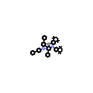 CC1(C)CCC(C)(C)c2cc(N3c4cc5c(cc4Bc4c(-c6cc(-c7ccccc7)ccc6Nc6ccc(-c7ccccc7)cc6)cc(-c6ccccc6)cc43)C(C)(C)CCC5(C)C)ccc21